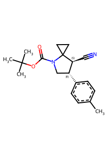 Cc1ccc([C@@H]2CN(C(=O)OC(C)(C)C)C3(CC3)[C@H]2C#N)cc1